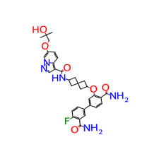 CC(C)(O)COc1ccc2c(C(=O)NC3CC4(C3)CC(Oc3cc(-c5ccc(F)c(C(N)=O)c5)ccc3C(N)=O)C4)cnn2c1